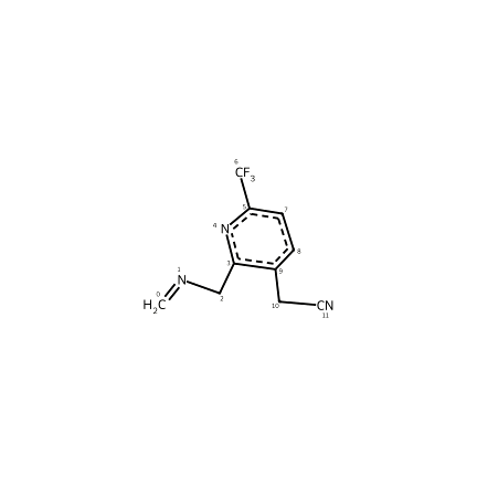 C=NCc1nc(C(F)(F)F)ccc1CC#N